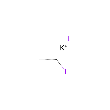 CCI.[I-].[K+]